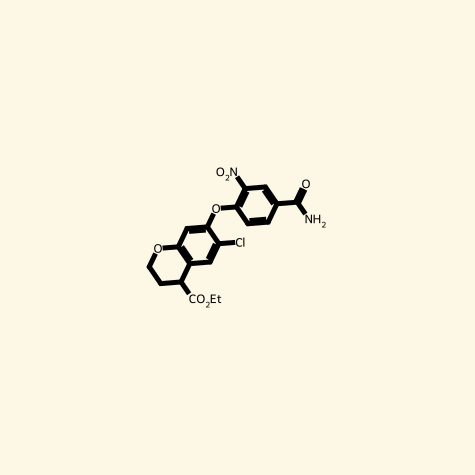 CCOC(=O)C1CCOc2cc(Oc3ccc(C(N)=O)cc3[N+](=O)[O-])c(Cl)cc21